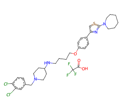 Clc1ccc(CN2CCC(NCCCCOc3ccc(-c4csc(N5CCCCCC5)n4)cc3)CC2)cc1Cl.O=C(O)C(F)(F)F